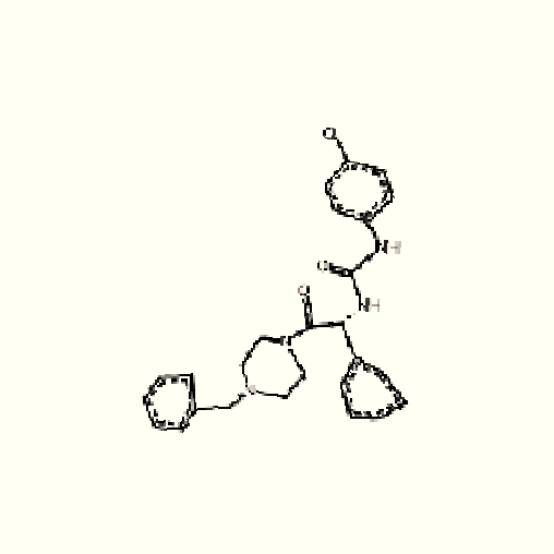 O=C(Nc1ccc(Cl)cc1)N[C@@H](C(=O)N1CCN(Cc2ccccc2)CC1)c1ccccc1